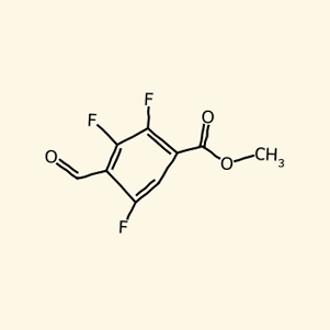 COC(=O)c1cc(F)c(C=O)c(F)c1F